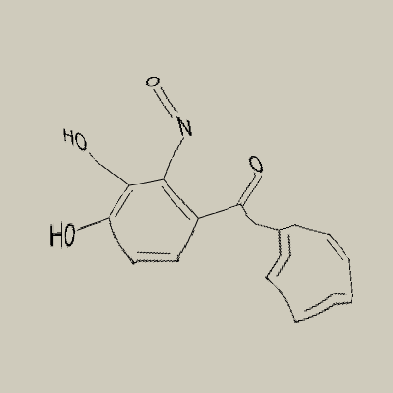 O=Nc1c(C(=O)c2ccccc2)ccc(O)c1O